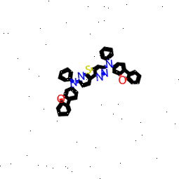 c1ccc(N(c2ccc3c(c2)oc2ccccc23)c2cc3sc4nc(N(c5ccccc5)c5ccc6c(c5)oc5ccccc56)ccc4c3nn2)cc1